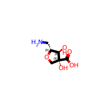 NC[C@H]1OC[C@](O)(C(=O)O)[C@@H]1O